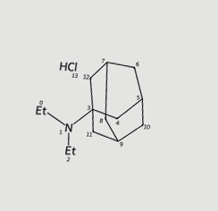 CCN(CC)C12CC3CC(CC(C3)C1)C2.Cl